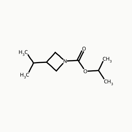 CC(C)OC(=O)N1CC(C(C)C)C1